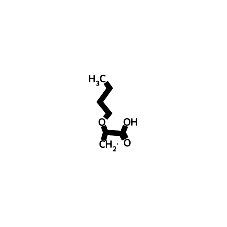 [CH2]C(OCCCC)C(=O)O